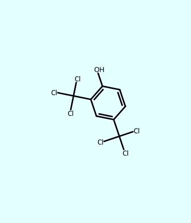 Oc1ccc(C(Cl)(Cl)Cl)cc1C(Cl)(Cl)Cl